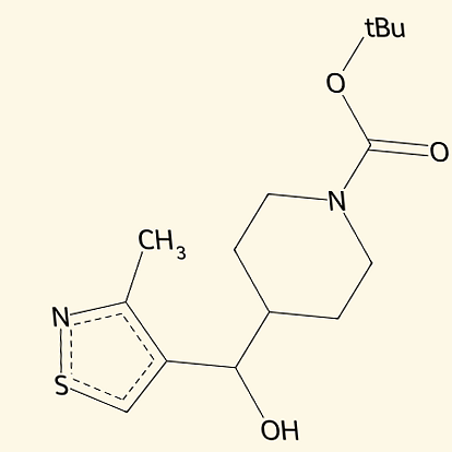 Cc1nscc1C(O)C1CCN(C(=O)OC(C)(C)C)CC1